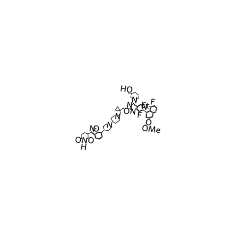 CCc1c(F)ccc2cc(OCOC)cc(-c3ncc4c(N5CCC[C@@](C)(O)C5)nc(OCC5(CN6CCC(N7CCC(c8cccc9c(C%10CCC(=O)NC%10=O)noc89)CC7)CC6)CC5)nc4c3F)c12